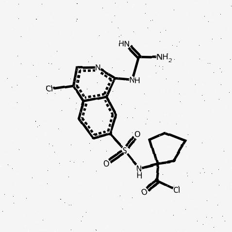 N=C(N)Nc1ncc(Cl)c2ccc(S(=O)(=O)NC3(C(=O)Cl)CCCC3)cc12